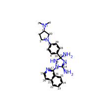 CN(C)[C@@H]1CCN(c2ccc(C3(N)N=C(N)N(c4nccc5ccccc45)N3)cc2)C1